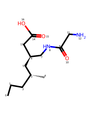 CCC[C@@H](C)C[C@H](CNC(=O)CN)CC(=O)O